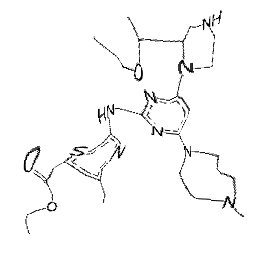 CCOC(=O)c1sc(Nc2nc(N3CCN(C)CC3)cc(N3CCNCC3C(C)OCC)n2)nc1C